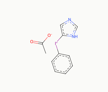 CC(=O)[O-].c1ccc([I+]c2cnc[nH]2)cc1